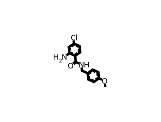 COc1ccc(CNC(=O)c2ccc(Cl)cc2N)cc1